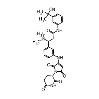 CN(C)C(CC(=O)Nc1cccc(C(C)(C)C#N)c1)c1cccc(NC2=CC(=O)N(C3CCC(=O)NC3=O)C2=O)c1